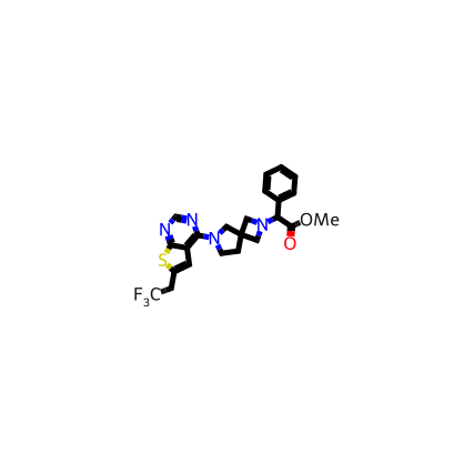 COC(=O)C(c1ccccc1)N1CC2(CCN(c3ncnc4sc(CC(F)(F)F)cc34)C2)C1